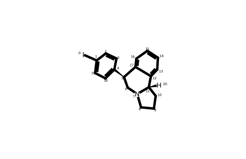 Ic1ccc([C@@H]2CN3CCC[C@H]3c3ccccc32)cc1